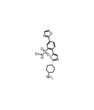 CCNS(=O)(=O)c1cc(-c2ncco2)ccc1-c1cnc([C@H]2CC[C@H](N)CC2)s1